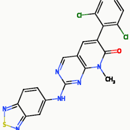 Cn1c(=O)c(-c2c(Cl)cccc2Cl)cc2cnc(Nc3ccc4nsnc4c3)nc21